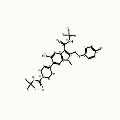 Cn1c(CSc2ccc(F)cc2)c(C(=O)NC(C)(C)C)c2cc(O)c(C3=CCN(C(=O)OC(C)(C)C)CC3)cc21